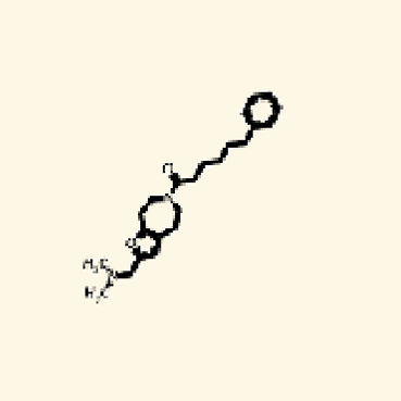 CN(C)Cc1cc2c(o1)CCN(C(=O)CCCCCc1ccccc1)CC2